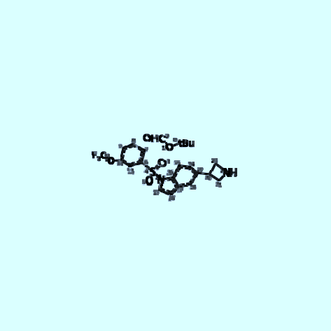 CC(C)(C)OC=O.O=S(=O)(c1cccc(OC(F)(F)F)c1)n1ccc2cc(C3CNC3)ccc21